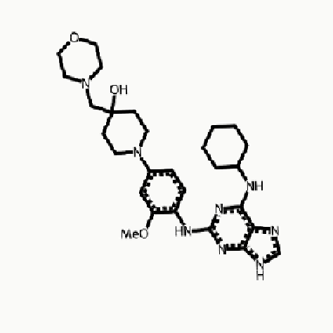 COc1cc(N2CCC(O)(CN3CCOCC3)CC2)ccc1Nc1nc(NC2CCCCC2)c2nc[nH]c2n1